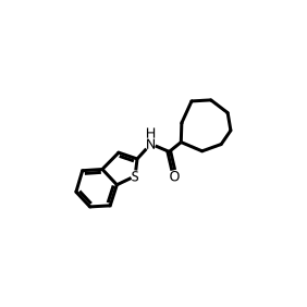 O=C(Nc1cc2ccccc2s1)C1CCCCCCC1